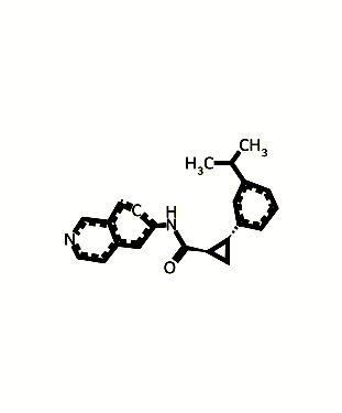 CC(C)c1cccc([C@@H]2C[C@H]2C(=O)Nc2ccc3cnccc3c2)c1